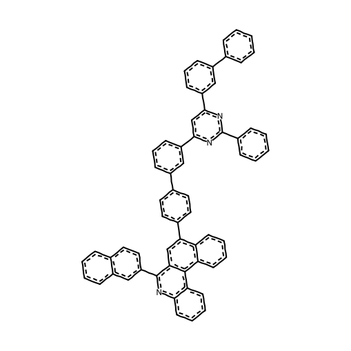 c1ccc(-c2cccc(-c3cc(-c4cccc(-c5ccc(-c6cc7c(-c8ccc9ccccc9c8)nc8ccccc8c7c7ccccc67)cc5)c4)nc(-c4ccccc4)n3)c2)cc1